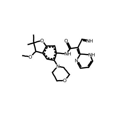 COC1c2cc(N3CCOCC3)c(NC(=O)/C(C=N)=C3\N=CC=CN3)cc2OC1(C)C